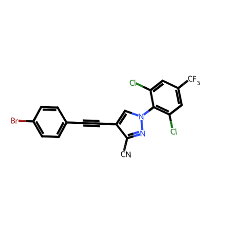 N#Cc1nn(-c2c(Cl)cc(C(F)(F)F)cc2Cl)cc1C#Cc1ccc(Br)cc1